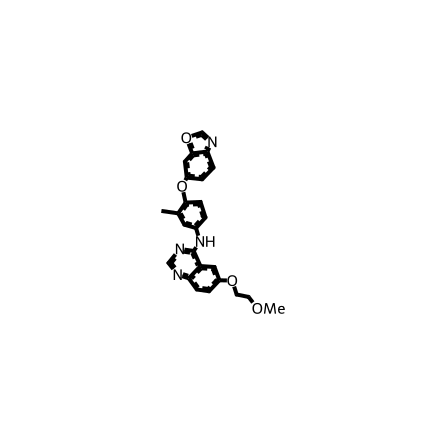 COCCOc1ccc2ncnc(Nc3ccc(Oc4ccc5ncoc5c4)c(C)c3)c2c1